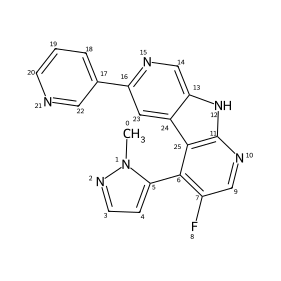 Cn1nccc1-c1c(F)cnc2[nH]c3cnc(-c4cccnc4)cc3c12